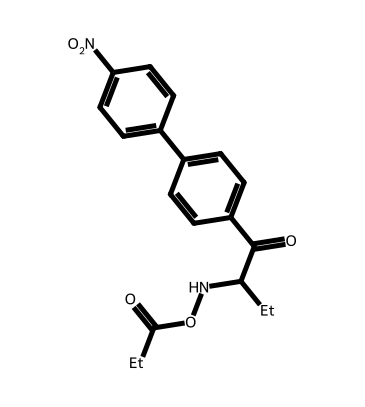 CCC(=O)ONC(CC)C(=O)c1ccc(-c2ccc([N+](=O)[O-])cc2)cc1